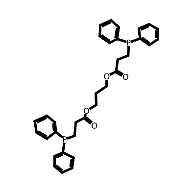 O=C(CCP(c1ccccc1)c1ccccc1)OCCCOC(=O)CCP(c1ccccc1)c1ccccc1